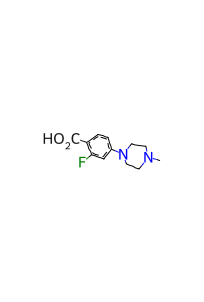 CN1CCN(c2ccc(C(=O)O)c(F)c2)CC1